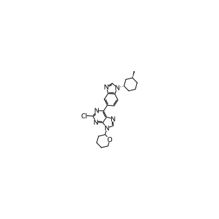 C[C@H]1CCC[C@H](n2cnc3cc(-c4nc(Cl)nc5c4ncn5C4CCCCO4)ccc32)C1